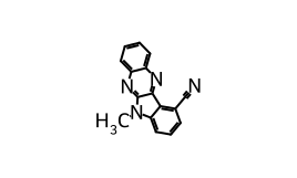 Cn1c2cccc(C#N)c2c2nc3ccccc3nc21